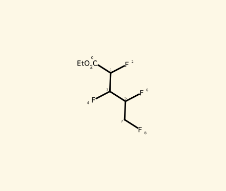 CCOC(=O)C(F)C(F)C(F)CF